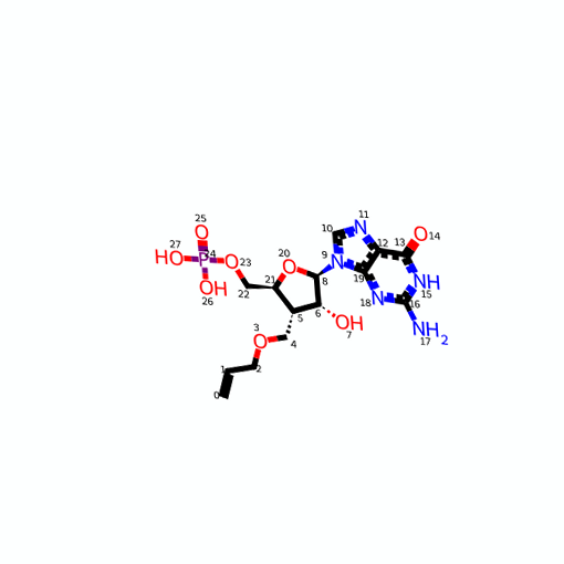 C=CCOC[C@H]1[C@@H](O)[C@H](n2cnc3c(=O)[nH]c(N)nc32)O[C@@H]1COP(=O)(O)O